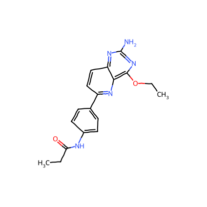 CCOc1nc(N)nc2ccc(-c3ccc(NC(=O)CC)cc3)nc12